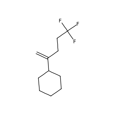 C=C(CCC(F)(F)F)C1CCCCC1